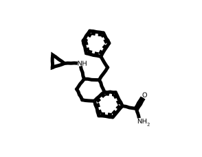 NC(=O)c1ccc2c(c1)C(Cc1ccccc1)C(NC1CC1)CC2